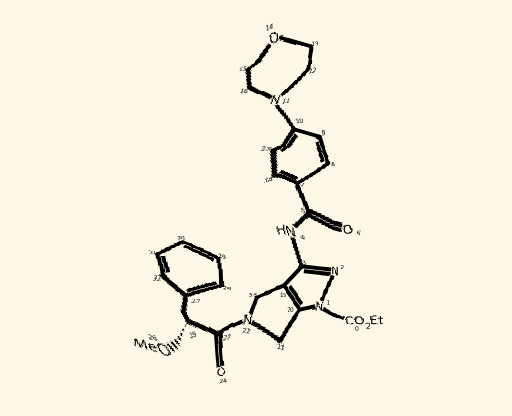 CCOC(=O)n1nc(NC(=O)c2ccc(N3CCOCC3)cc2)c2c1CN(C(=O)[C@H](OC)c1ccccc1)C2